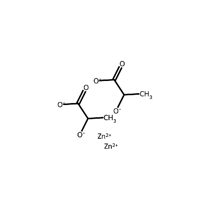 CC([O-])C(=O)[O-].CC([O-])C(=O)[O-].[Zn+2].[Zn+2]